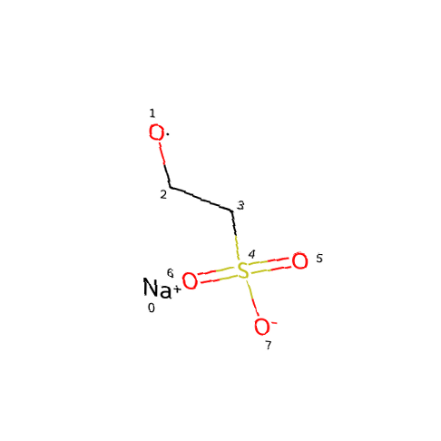 [Na+].[O]CCS(=O)(=O)[O-]